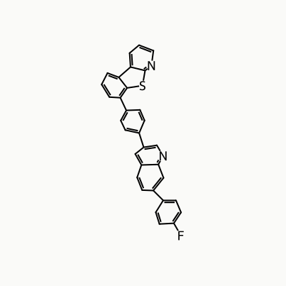 Fc1ccc(-c2ccc3cc(-c4ccc(-c5cccc6c5sc5ncccc56)cc4)cnc3c2)cc1